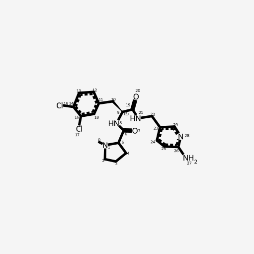 CN1CCCC1C(=O)N[C@@H](Cc1ccc(Cl)c(Cl)c1)C(=O)NCc1ccc(N)nc1